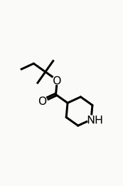 CCC(C)(C)OC(=O)C1CCNCC1